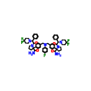 NC(=O)C1(c2ccc(CN(Cc3ccc(C4(C(N)=O)CCCN4C(=O)C(c4ccccc4)N4CCC(F)(F)CC4)cc3)c3ccc(F)cc3)cc2)CCCN1C(=O)C(c1ccccc1)N1CCC(F)(F)CC1